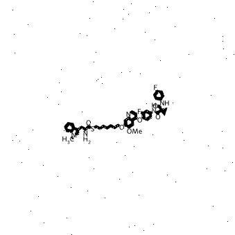 COc1cc2c(Oc3ccc(NC(=O)C4(C(=O)Nc5ccc(F)cc5)CC4)cc3F)ccnc2cc1OCCCCCCCSC(=O)[C@H](N)Cc1cn(C)c2ccccc12